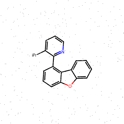 CC(C)c1cccnc1-c1cccc2oc3ccccc3c12